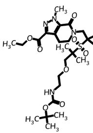 CCOC(=O)c1nn(C)c2c1CCN(CC1(S(=O)(=O)C(C)(C)COCCNC(=O)OC(C)(C)C)CC1)C2=O